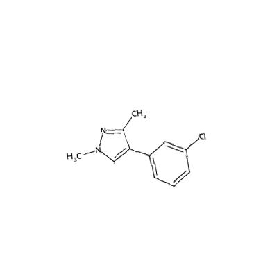 Cc1nn(C)[c]c1-c1cccc(Cl)c1